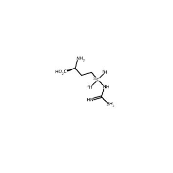 [2H][13C]([2H])(CC[C@H](N)C(=O)O)NC(B)=N